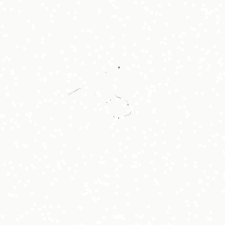 CCCCCc1cc(O)c2c(c1)OC1(O)CCC(=C(C)C)C2C1